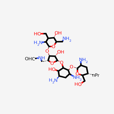 CCC[C@H]1CC(N)[C@@H](O[C@@H]2C(N)C[C@@H](N)C(O)C2O[C@@H]2O[C@H](CNC=O)[C@H](O[C@H]3OC(CN)[C@@H](O)C(CO)C3N)[C@@H]2O)OC1CO